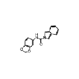 O=C(Nc1ccc2c(c1)OCO2)n1cc2ccccc2c1